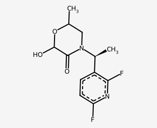 CC1CN([C@@H](C)c2ccc(F)nc2F)C(=O)C(O)O1